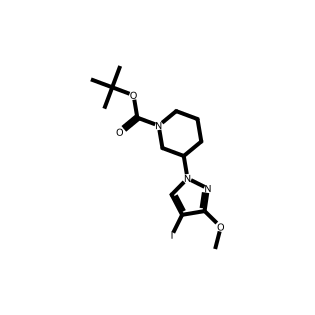 COc1nn(C2CCCN(C(=O)OC(C)(C)C)C2)cc1I